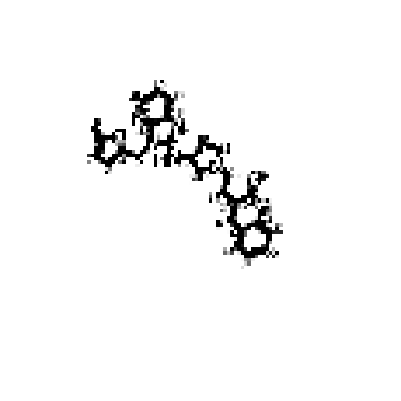 Cc1ccc(Cn2c(NC3CCN(CCc4cc5ccccc5oc4=O)C3)nc3cccnc32)o1